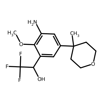 COc1c(N)cc(C2(C)CCOCC2)cc1C(O)C(F)(F)F